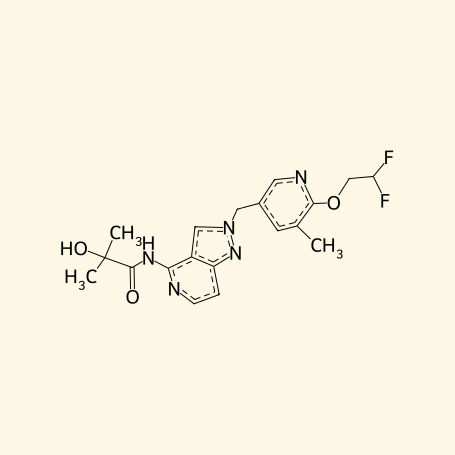 Cc1cc(Cn2cc3c(NC(=O)C(C)(C)O)nccc3n2)cnc1OCC(F)F